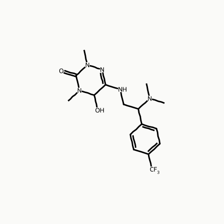 CN1N=C(NCC(c2ccc(C(F)(F)F)cc2)N(C)C)C(O)N(C)C1=O